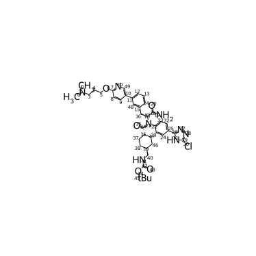 CN(C)CCCOc1ccc(-c2cccc(C[C@@H](C(N)=O)N(c3ccc(-c4nnc(Cl)[nH]4)cc3)C(=O)[C@H]3CC[C@H](CNC(=O)OC(C)(C)C)CC3)c2)cn1